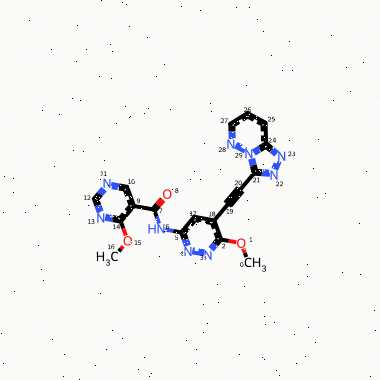 COc1nnc(NC(=O)c2cncnc2OC)cc1C#Cc1nnc2cccnn12